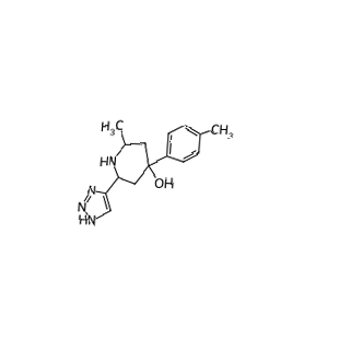 Cc1ccc(C2(O)CC(C)NC(c3c[nH]nn3)C2)cc1